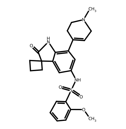 COc1ccccc1S(=O)(=O)Nc1cc(C2=CCN(C)CC2)c2c(c1)C1(CCC1)C(=O)N2